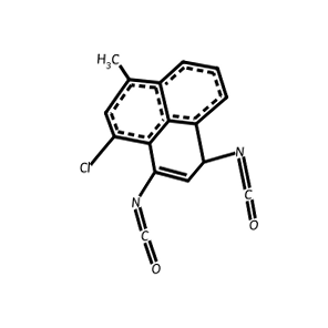 Cc1cc(Cl)c2c3c(cccc13)C(N=C=O)C=C2N=C=O